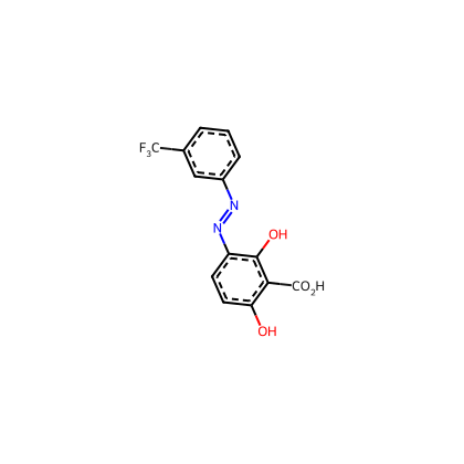 O=C(O)c1c(O)ccc(N=Nc2cccc(C(F)(F)F)c2)c1O